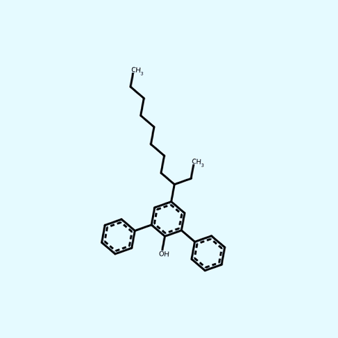 CCCCCCCCC(CC)c1cc(-c2ccccc2)c(O)c(-c2ccccc2)c1